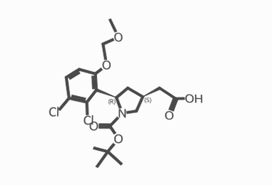 COCOc1ccc(Cl)c(Cl)c1[C@H]1C[C@@H](CC(=O)O)CN1C(=O)OC(C)(C)C